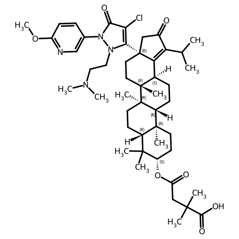 COc1ccc(-n2c(=O)c(Cl)c([C@@]34CC[C@]5(C)[C@H](CC[C@@H]6[C@@]7(C)CC[C@H](OC(=O)CC(C)(C)C(=O)O)C(C)(C)[C@@H]7CC[C@]65C)C3=C(C(C)C)C(=O)C4)n2CCN(C)C)cn1